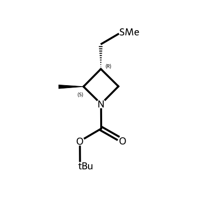 CSC[C@@H]1CN(C(=O)OC(C)(C)C)[C@H]1C